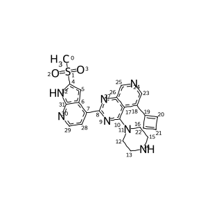 CS(=O)(=O)c1cc2c(-c3nc(N4CCNCC4)c4c(C5=CC=C5)cncc4n3)ccnc2[nH]1